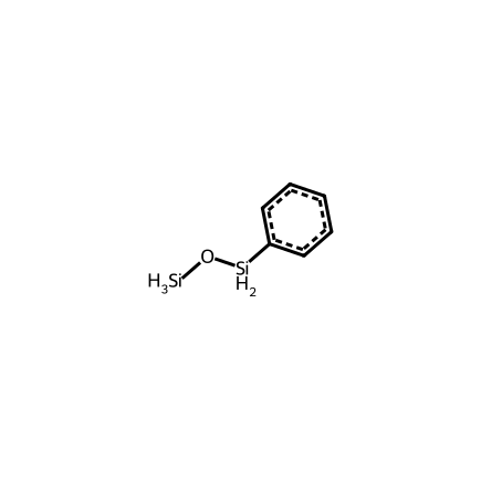 [SiH3]O[SiH2]c1ccccc1